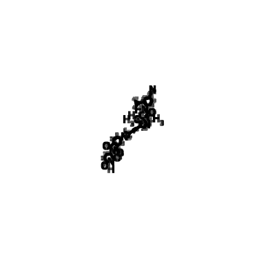 Cc1c(C#CC2CN(c3ccc4c(c3)C(=O)N(C3CCC(=O)NC3=O)C4=O)C2)cnn1C(C)(C)C(=O)Nc1ccc(C#N)cc1C1CC1